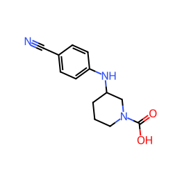 N#Cc1ccc(NC2CCCN(C(=O)O)C2)cc1